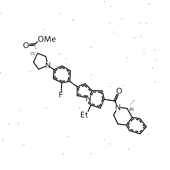 CCc1cc(C(=O)N2CCc3ccccc3[C@H]2C)cc2cc(-c3ccc(N4CC[C@H](C(=O)OC)C4)cc3F)cn12